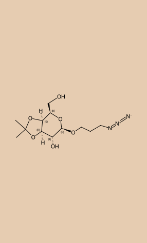 CC1(C)O[C@@H]2[C@@H](O)[C@H](OCCCN=[N+]=[N-])O[C@H](CO)[C@@H]2O1